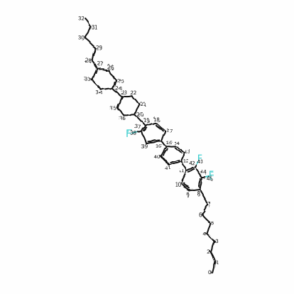 CCCCCCCCc1ccc(-c2ccc(-c3ccc(C4CCC(C5CCC(CCCCC)CC5)CC4)c(F)c3)cc2)c(F)c1F